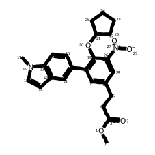 COC(=O)CCc1cc(-c2ccc3c(ccn3C)c2)c(OC2CCCC2)c([N+](=O)[O-])c1